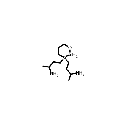 CC(N)CC[Si]1(CCC(C)N)CCCO[SiH2]1